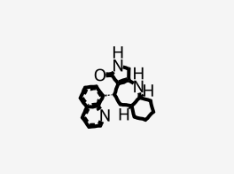 O=C1NCC2=C1[C@@H](c1cccc3cccnc13)C[C@@H]1CCCC[C@H]1N2